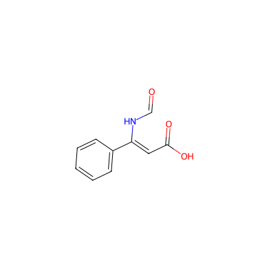 O=CNC(=CC(=O)O)c1ccccc1